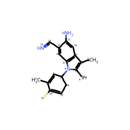 CC1=CC(n2c(C(C)C)c(C)c3cc(N)c(C=N)cc32)CC=C1F